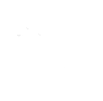 COc1ccccc1N1CCN(CCCCCc2cccc3c(=O)c(C)c(-c4ccccc4)oc23)CC1